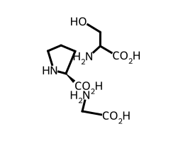 NC(CO)C(=O)O.NCC(=O)O.O=C(O)[C@@H]1CCCN1